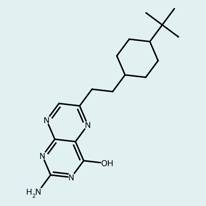 CC(C)(C)C1CCC(CCc2cnc3nc(N)nc(O)c3n2)CC1